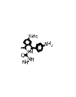 CCCNC(=O)N1N=C(c2ccc(N)cc2)c2cc(SC)ccc2C1C